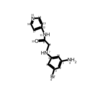 Nc1cc(Br)cc(NCC(=O)Nc2ccncc2)c1